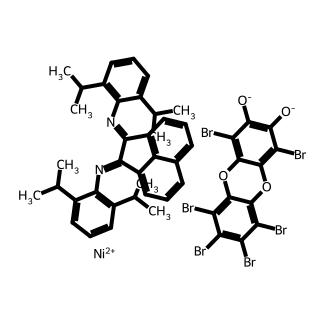 CC(C)c1cccc(C(C)C)c1N=C1C(=Nc2c(C(C)C)cccc2C(C)C)c2cccc3cccc1c23.[Ni+2].[O-]c1c([O-])c(Br)c2c(c1Br)Oc1c(Br)c(Br)c(Br)c(Br)c1O2